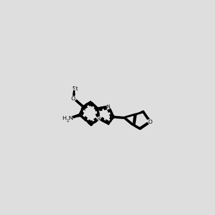 CCOc1cc2nc(C3C4COCC43)cn2cc1N